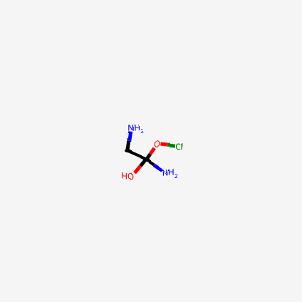 NCC(N)(O)OCl